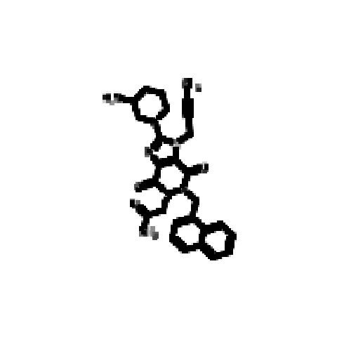 CC#CCn1c(N2CCCC(N)C2)nc2c(=O)n(CC(N)=O)n(Cc3cccc4ccccc34)c(=O)c21